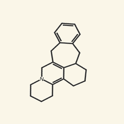 c1ccc2c(c1)CC1=C3C(=C4CCCCN4C1)CCCC3C2